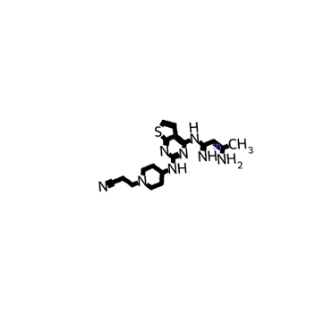 C/C(N)=C/C(=N)Nc1nc(NC2CCN(CCC#N)CC2)nc2sccc12